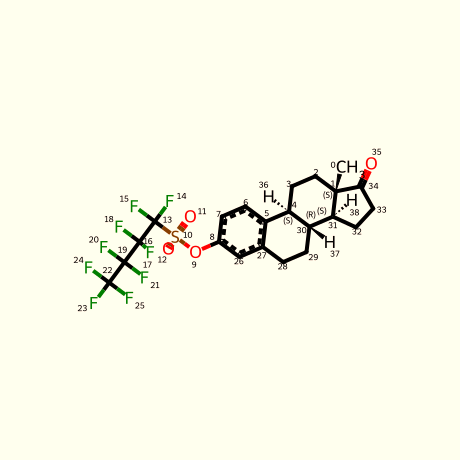 C[C@]12CC[C@@H]3c4ccc(OS(=O)(=O)C(F)(F)C(F)(F)C(F)(F)C(F)(F)F)cc4CC[C@H]3[C@@H]1CCC2=O